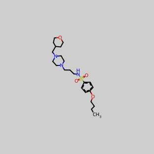 CCCCOc1ccc(S(=O)(=O)NCCCN2CCN(CC3CCOCC3)CC2)cc1